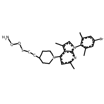 Cc1cc(N2CCC(CCSOON)CC2)c2c(C)cn(-c3c(C)cc(Br)cc3C)c2n1